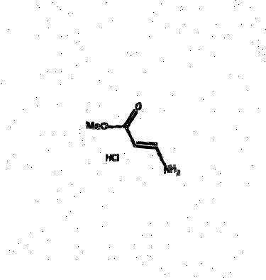 COC(=O)C=CN.Cl